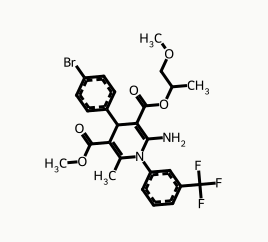 COCC(C)OC(=O)C1=C(N)N(c2cccc(C(F)(F)F)c2)C(C)=C(C(=O)OC)C1c1ccc(Br)cc1